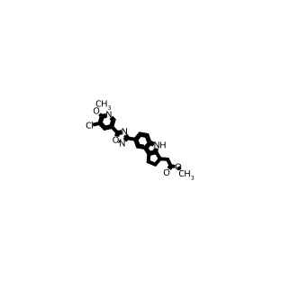 COC(=O)CC1CCc2c1[nH]c1ccc(-c3noc(-c4cnc(OC)c(Cl)c4)n3)cc21